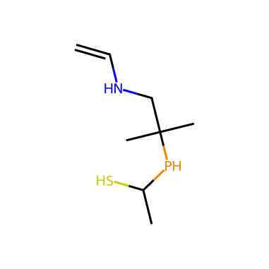 C=CNCC(C)(C)PC(C)S